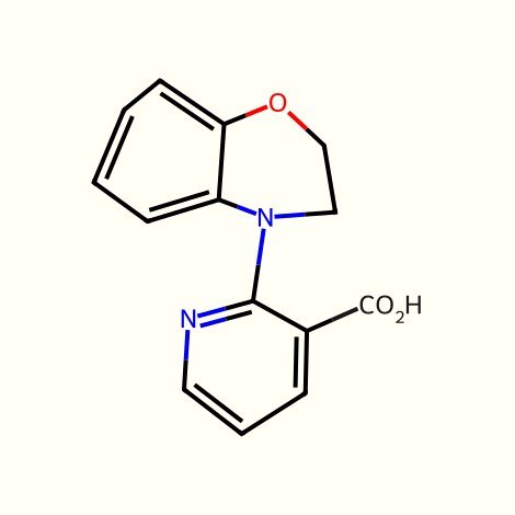 O=C(O)c1cccnc1N1CCOc2ccccc21